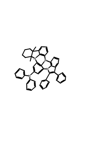 CC12CCCCC1(C)N1c3cc(N(c4ccccc4)c4ccccc4)cc4c3B(c3cccc2c31)c1cccc2c(-c3ccccc3)c(-c3ccccc3)n-4c12